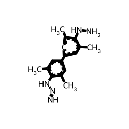 Cc1cc(-c2cc(C)c(NN=N)c(C)c2)cc(C)c1NN